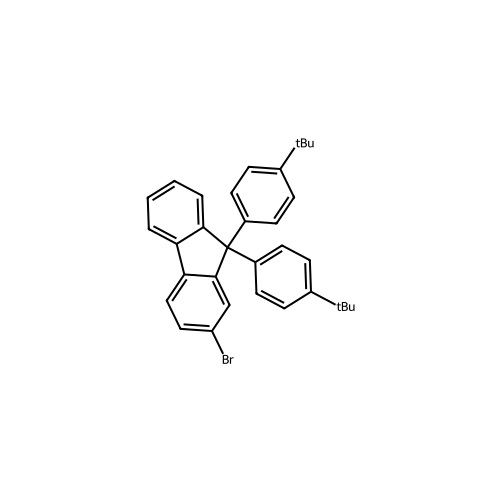 CC(C)(C)c1ccc(C2(c3ccc(C(C)(C)C)cc3)c3ccccc3-c3ccc(Br)cc32)cc1